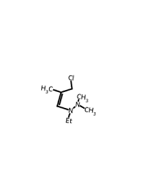 CCN(/C=C(/C)CCl)N(C)C